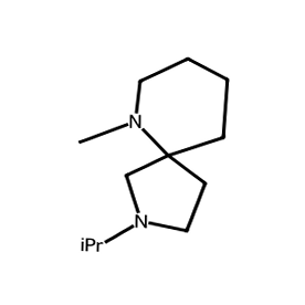 CC(C)N1CCC2(CCCCN2C)C1